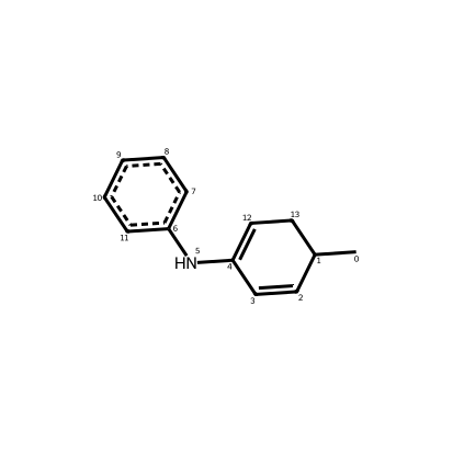 CC1C=CC(Nc2ccccc2)=CC1